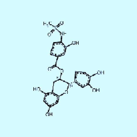 CS(=O)(=O)Nc1ccc(C(=O)O[C@@H]2Cc3c(O)cc(O)cc3O[C@H]2c2ccc(O)c(O)c2)cc1O